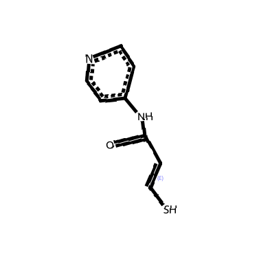 O=C(/C=C/S)Nc1ccncc1